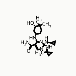 CC1(NC2(NC3CC3)N=C(N[C@@H]3CCC(C)(C)[C@H](O)C3)C(C(N)=O)=CN2)CC1